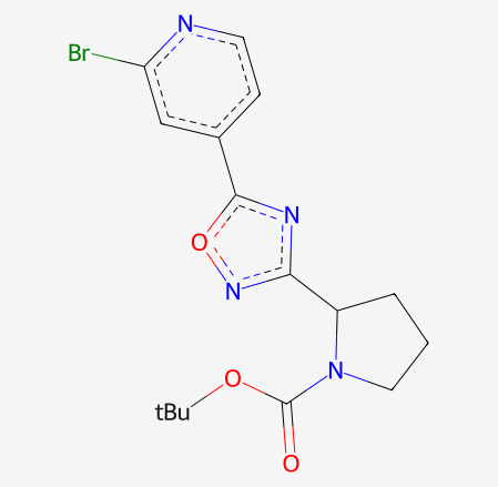 CC(C)(C)OC(=O)N1CCCC1c1noc(-c2ccnc(Br)c2)n1